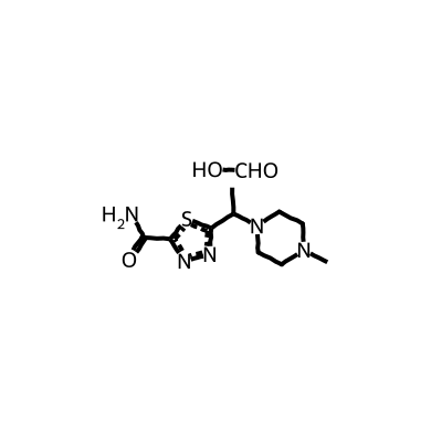 CC(c1nnc(C(N)=O)s1)N1CCN(C)CC1.O=CO